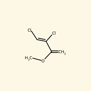 C=C(OC)C(Cl)=CCl